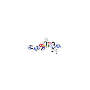 Cc1cc(-n2ccnc2)c2cccc(OCc3c(Cl)ccc(S(=O)(=O)N4CCCC4C(=O)N4CCN(Cc5cccnc5)CC4)c3Cl)c2n1